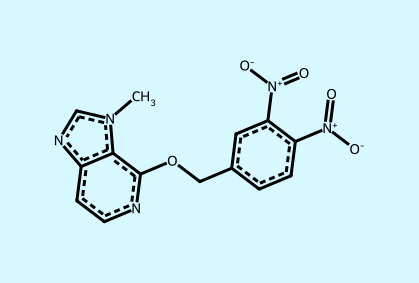 Cn1cnc2ccnc(OCc3ccc([N+](=O)[O-])c([N+](=O)[O-])c3)c21